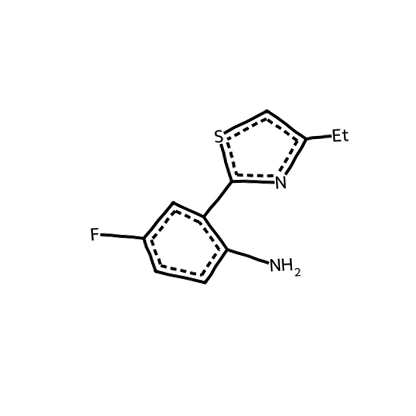 CCc1csc(-c2cc(F)ccc2N)n1